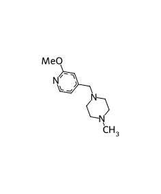 COc1cc(CN2CCN(C)CC2)ccn1